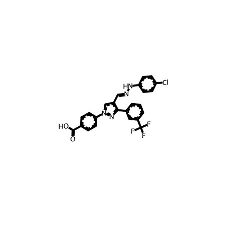 O=C(O)c1ccc(-n2cc(/C=N/Nc3ccc(Cl)cc3)c(-c3cccc(C(F)(F)F)c3)n2)cc1